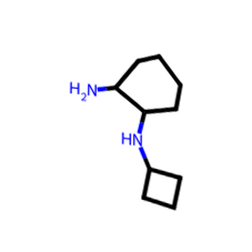 NC1CCCCC1NC1CCC1